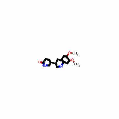 COc1cc2cc(-c3ccc(=O)[nH]c3)cnc2cc1OC